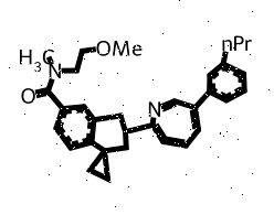 CCCc1cccc(C2=CC=C=C(C3Cc4cc(C(=O)N(C)CCOC)ccc4C4(CC4)C3)N=C2)c1